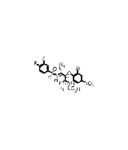 C[C@H](NC(=O)O)[C@H](Oc1ccc([N+](=O)[O-])cc1Br)[C@@H](C)NS(=O)(=O)c1ccc(F)c(F)c1